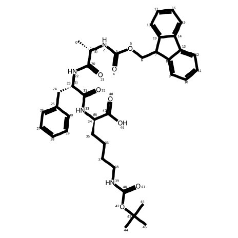 C[C@H](NC(=O)OCC1c2ccccc2-c2ccccc21)C(=O)N[C@@H](Cc1ccccc1)C(=O)N[C@H](CCCCNC(=O)OC(C)(C)C)C(=O)O